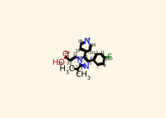 CC(C)c1nc(-c2ccc(F)cc2)c(-c2ccncc2)n1/C=C/C(=O)O